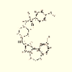 COc1ccc(S(=O)(=O)N[C@H]2CC[C@H](Nc3nc4c(s3)CCCc3ccc(F)cc3-4)CC2)cc1